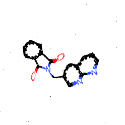 O=C1c2ccccc2C(=O)N1Cc1cnc2ncccc2c1